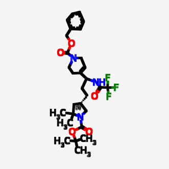 CC(C)(C)OC(=O)N1C[C@@H](CCC(NC(=O)C(F)(F)F)C2=CCN(C(=O)OCc3ccccc3)CC2)CC1(C)C